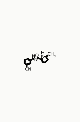 CC1CCCC(c2nc(-c3cccc(C#N)c3)no2)N1